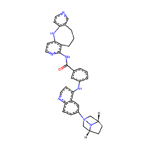 CN1[C@@H]2CC[C@H]1CN(c1ccc3nccc(Nc4cccc(C(=O)Nc5nccc6c5CCCc5cnccc5N6)c4)c3c1)C2